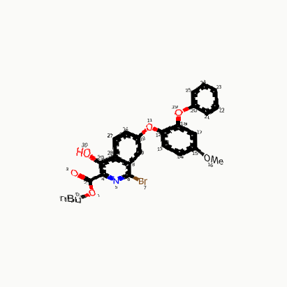 CCCCOC(=O)c1nc(Br)c2cc(Oc3ccc(OC)cc3Oc3ccccc3)ccc2c1O